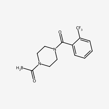 BC(=O)N1CCN(C(=O)c2ccccc2C(F)(F)F)CC1